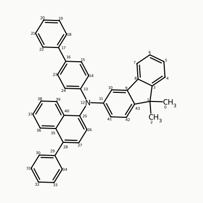 CC1(C)c2ccccc2-c2cc(N(c3ccc(-c4ccccc4)cc3)c3ccc(-c4ccccc4)c4ccccc34)ccc21